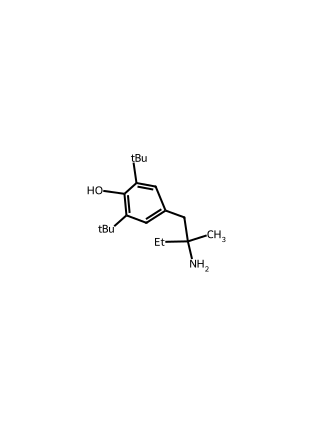 CCC(C)(N)Cc1cc(C(C)(C)C)c(O)c(C(C)(C)C)c1